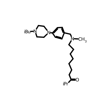 CCC(C)N1CCN(c2ccc(CN(C)CCCCCCCC(=O)C(C)C)cc2)CC1